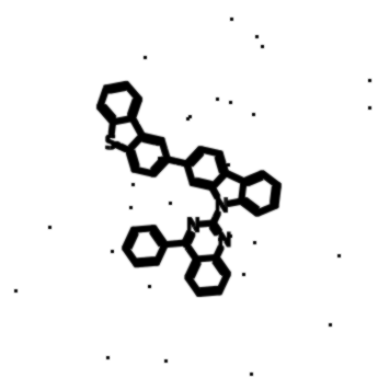 c1ccc(-c2nc(-n3c4ccccc4c4ccc(-c5ccc6sc7ccccc7c6c5)cc43)nc3ccccc23)cc1